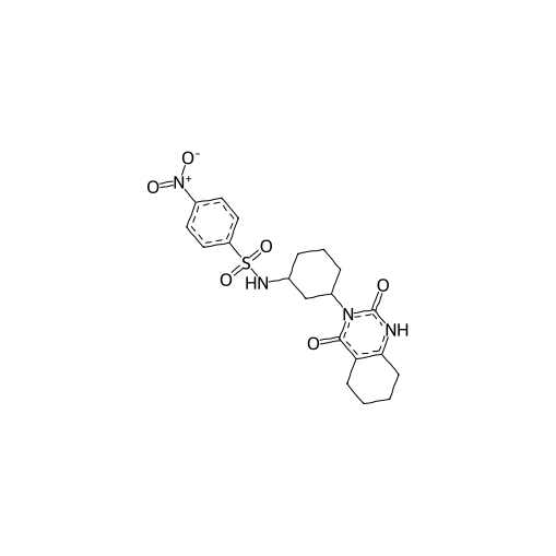 O=c1[nH]c2c(c(=O)n1C1CCCC(NS(=O)(=O)c3ccc([N+](=O)[O-])cc3)C1)CCCC2